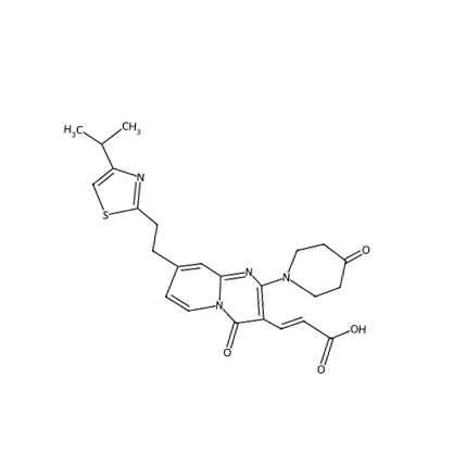 CC(C)c1csc(CCc2ccn3c(=O)c(/C=C/C(=O)O)c(N4CCC(=O)CC4)nc3c2)n1